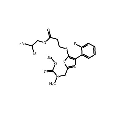 CCCCC(CC)COC(=O)CCSc1sc(CN(C)C(=O)OC(C)(C)C)nc1-c1ccccc1F